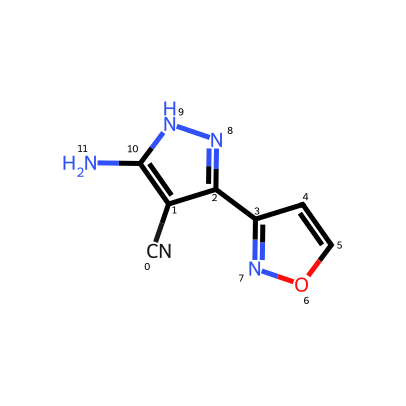 N#Cc1c(-c2ccon2)n[nH]c1N